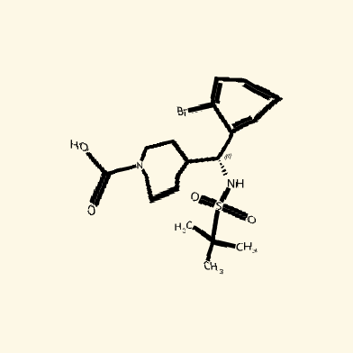 CC(C)(C)S(=O)(=O)N[C@@H](c1ccccc1Br)C1CCN(C(=O)O)CC1